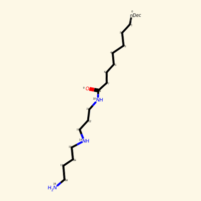 CCCCCCCCCCCCCCCCCC(=O)NCCCNCCCCN